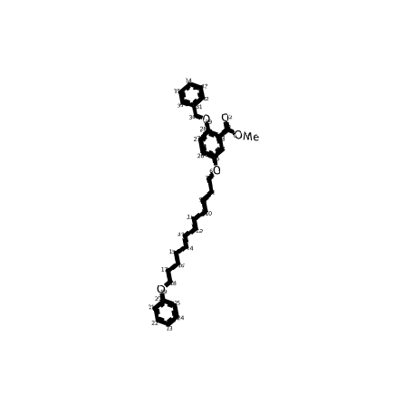 COC(=O)c1cc(OCCCCCCCCCCCCOc2ccccc2)ccc1OCc1ccccc1